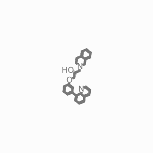 O[C@@H](COc1cccc(-c2cccc3cccnc23)c1)CN1CCc2ccccc2C1